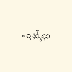 C[C@@H]1c2ccccc2CCN1C(=O)c1cc(C2CC2)c2nc(-c3ccc(Br)cc3F)n(C)c2c1